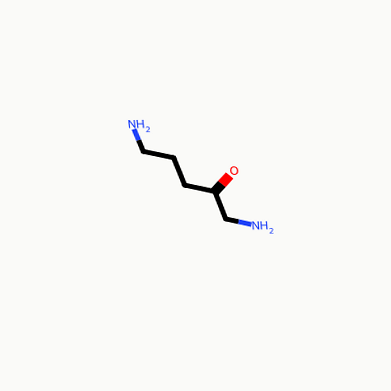 NCCCC(=O)CN